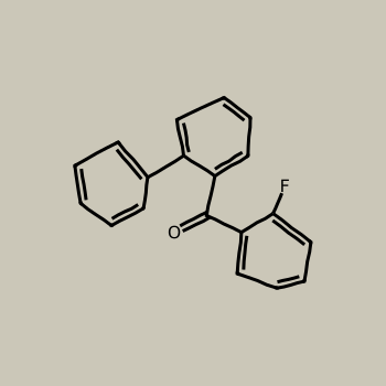 O=C(c1ccccc1F)c1ccccc1-c1ccccc1